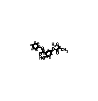 C=C(C)C(=O)Oc1ccc(O)c(C(=O)Oc2ccccc2)c1